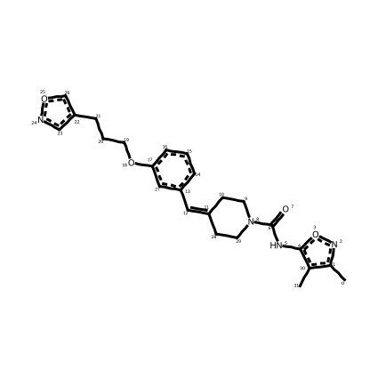 Cc1noc(NC(=O)N2CCC(=Cc3cccc(OCCCc4cnoc4)c3)CC2)c1C